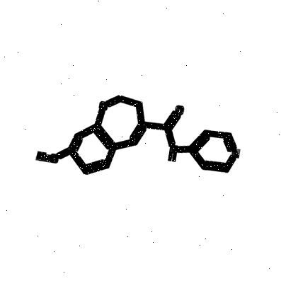 COc1ccc2c(c1)OCCC(C(=O)Nc1ccncc1)=C2